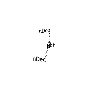 CCCCCCCCCCCCCCCCCCCN1C=CN(CCCCCCCCCCCCCCCCCCC)C1CC